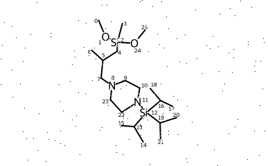 CO[Si](C)(CC(C)CN1CCN([Si](C(C)C)(C(C)C)C(C)C)CC1)OC